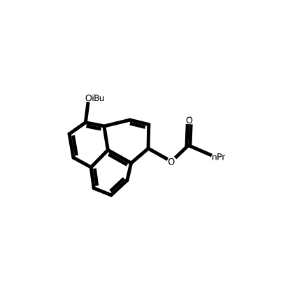 CCCC(=O)OC1C=Cc2c(OCC(C)C)ccc3cccc1c23